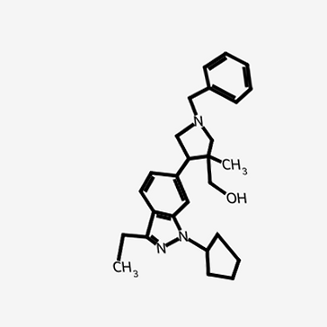 CCc1nn(C2CCCC2)c2cc(C3CN(Cc4ccccc4)CC3(C)CO)ccc12